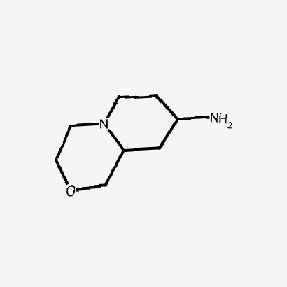 NC1CCN2CCOCC2C1